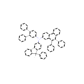 CC1(c2ccccc2)c2ccccc2-c2cc(N(c3ccc(-c4ccccc4)c(-c4ccccc4)c3)c3ccc4c(c3)c(-c3ccccc3)c(-c3ccccc3)c3ccccc34)ccc21